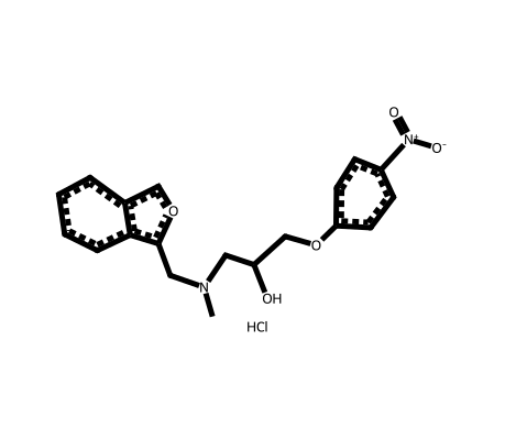 CN(Cc1occ2ccccc12)CC(O)COc1ccc([N+](=O)[O-])cc1.Cl